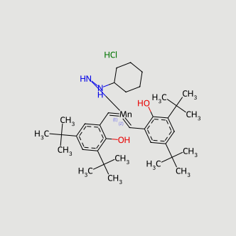 CC(C)(C)c1cc(/[CH]=[Mn](=[CH]/c2cc(C(C)(C)C)cc(C(C)(C)C)c2O)\[NH]NC2CCCCC2)c(O)c(C(C)(C)C)c1.Cl